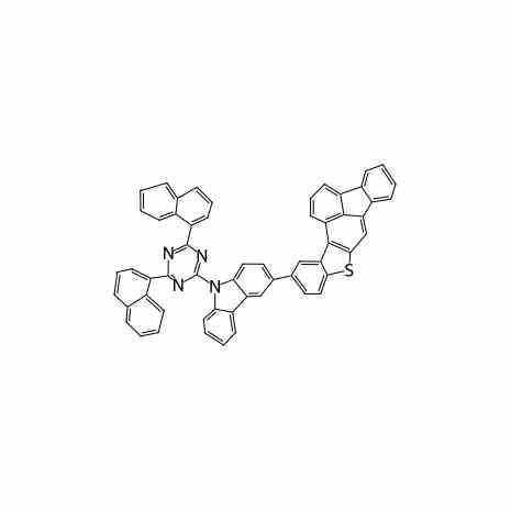 c1ccc2c(c1)-c1cccc3c1c-2cc1sc2ccc(-c4ccc5c(c4)c4ccccc4n5-c4nc(-c5cccc6ccccc56)nc(-c5cccc6ccccc56)n4)cc2c13